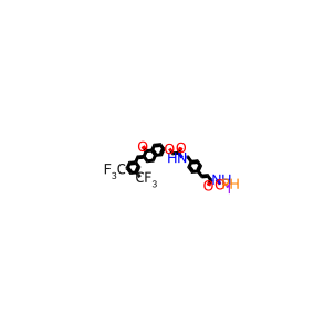 O=C(/C=C/c1ccc(CNC(=O)COc2ccc3c(c2)CC/C(=C\c2cc(C(F)(F)F)cc(C(F)(F)F)c2)C3=O)cc1)NOPI